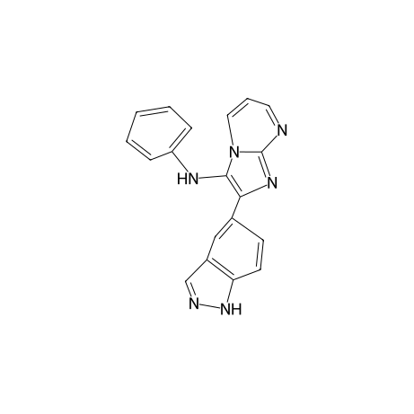 c1ccc(Nc2c(-c3ccc4[nH]ncc4c3)nc3ncccn23)cc1